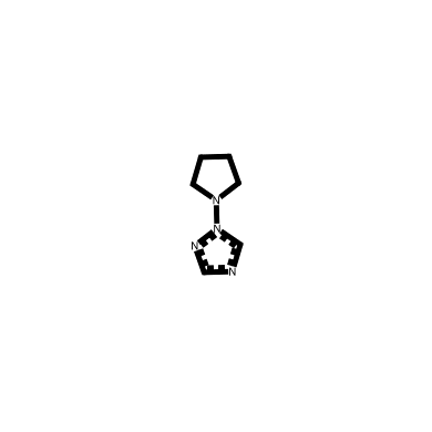 c1ncn(N2CCCC2)n1